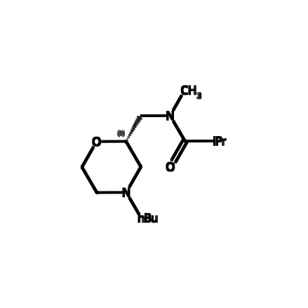 CCCCN1CCO[C@H](CN(C)C(=O)C(C)C)C1